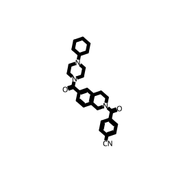 N#Cc1ccc(C(=O)N2CCc3cc(C(=O)N4CCN(C5CCCCC5)CC4)ccc3C2)cc1